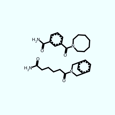 NC(=O)CCCCC(=O)N1Cc2cccc(c2)C1.NC(=O)c1cccc(C(=O)N2CCCCCCC2)c1